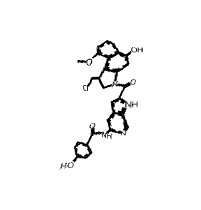 COc1cccc2c(O)cc3c(c12)C(CCl)CN3C(=O)c1cc2cc(NC(=O)c3ccc(O)cc3)ncc2[nH]1